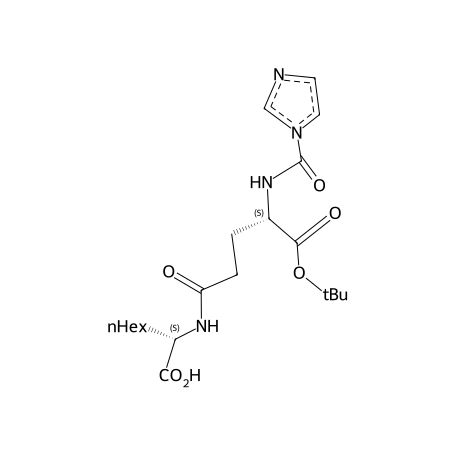 CCCCCC[C@H](NC(=O)CC[C@H](NC(=O)n1ccnc1)C(=O)OC(C)(C)C)C(=O)O